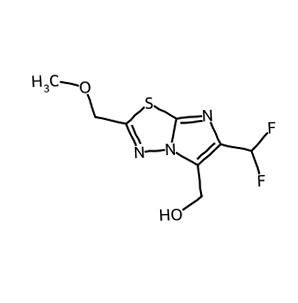 COCc1nn2c(CO)c(C(F)F)nc2s1